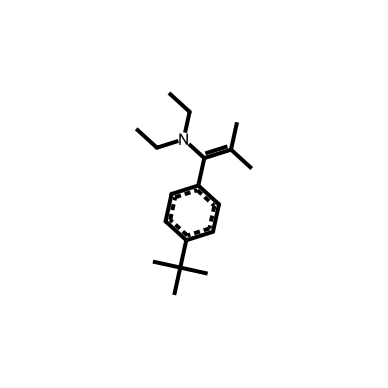 CCN(CC)C(=C(C)C)c1ccc(C(C)(C)C)cc1